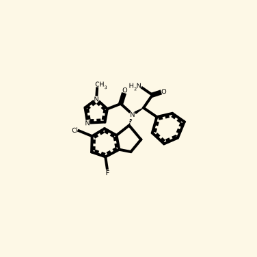 Cn1cncc1C(=O)N([C@@H]1CCc2c(F)cc(Cl)cc21)[C@@H](C(N)=O)c1ccccc1